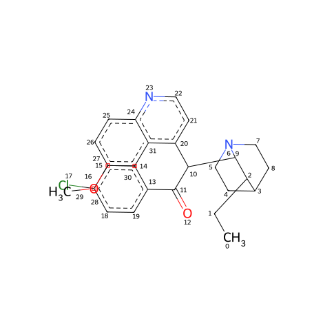 CCC1C2CCN(CC2)C1C(C(=O)c1ccc(Cl)cc1)c1ccnc2ccc(OC)cc12